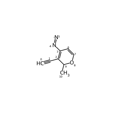 C#CC1=C(N=[N])C=COC1C